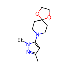 CCn1nc(C)cc1N1CCC2(CC1)OCCO2